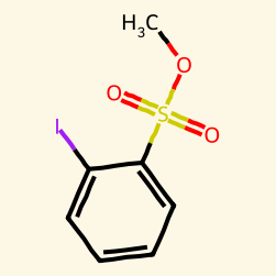 COS(=O)(=O)c1ccccc1I